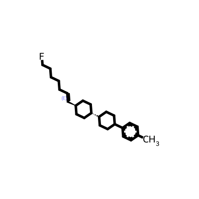 Cc1ccc(C2CCC([C@H]3CC[C@H](/C=C/CCCCCF)CC3)CC2)cc1